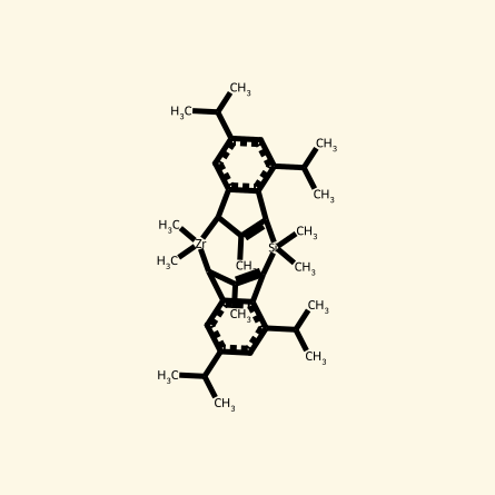 CC1=C2c3c(C(C)C)cc(C(C)C)cc3[CH]1[Zr]([CH3])([CH3])[CH]1C(C)=C(c3c(C(C)C)cc(C(C)C)cc31)[Si]2(C)C